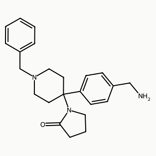 NCc1ccc(C2(N3CCCC3=O)CCN(Cc3ccccc3)CC2)cc1